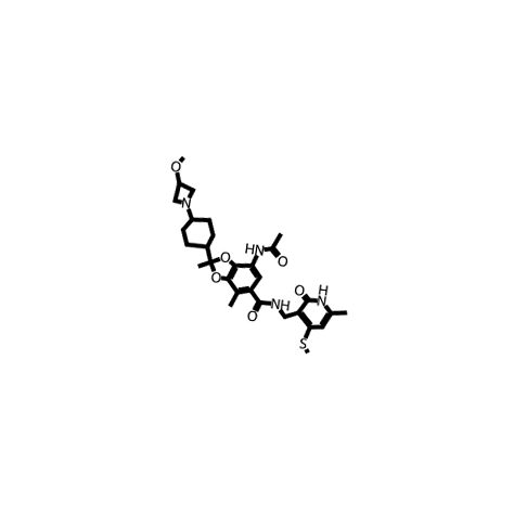 COC1CN(C2CCC(C3(C)Oc4c(NC(C)=O)cc(C(=O)NCc5c(SC)cc(C)[nH]c5=O)c(C)c4O3)CC2)C1